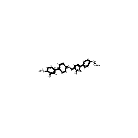 CCCCOc1ccc(-c2ccc(COC3CCC(c4ccc(OCCCC)c(F)c4)CC3)c(F)c2F)cc1